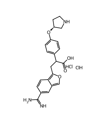 Cl.Cl.N=C(N)c1ccc2c(CC(C(=O)O)c3ccc(O[C@H]4CCNC4)cc3)occ2c1